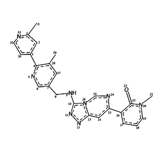 Cc1cc(-c2ncc(CNc3nnc4cc(-c5cccn(C)c5=O)ncn34)cc2C)ccn1